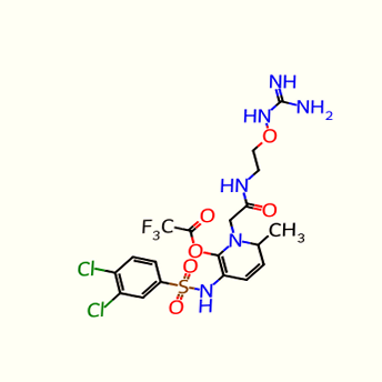 CC1C=CC(NS(=O)(=O)c2ccc(Cl)c(Cl)c2)=C(OC(=O)C(F)(F)F)N1CC(=O)NCCONC(=N)N